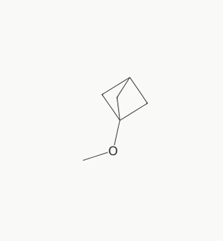 COC12CC(C1)C2